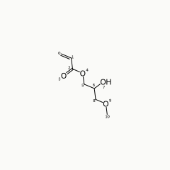 C=CC(=O)OCC(O)COC